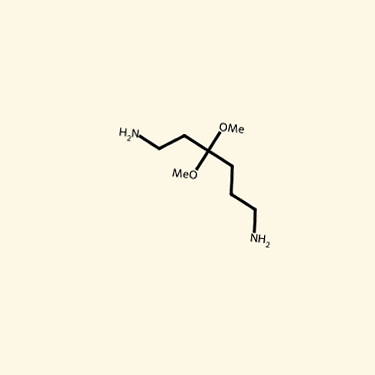 COC(CCN)(CCCN)OC